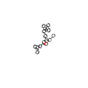 C1=C(c2ccccc2)CCC(c2ccccc2)=C1N(c1ccc(-c2ccc3c(c2)C2(c4ccccc4-c4ccccc42)c2ccccc2-3)cc1)c1ccc(-c2ccc3c(c2)c2ccccc2n3-c2ccccc2)cc1